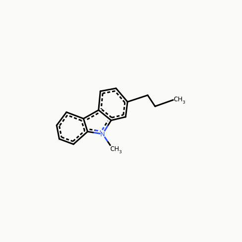 CCCc1ccc2c3ccccc3n(C)c2c1